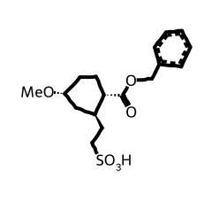 CO[C@@H]1CC[C@H](C(=O)OCc2ccccc2)[C@@H](CCS(=O)(=O)O)C1